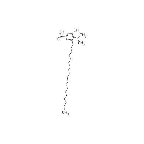 CCCCCCCCCCCCCCCCCCCCc1cc(C(=O)O)cc(C)c1C(C)C